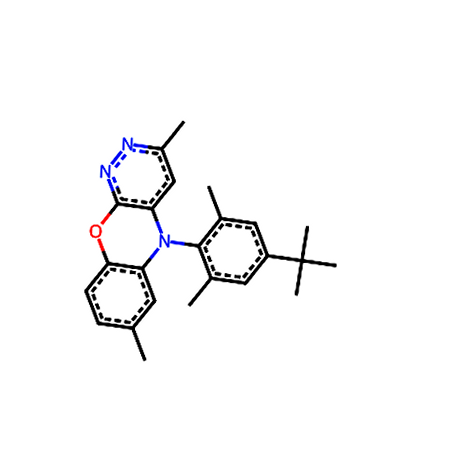 Cc1ccc2c(c1)N(c1c(C)cc(C(C)(C)C)cc1C)c1cc(C)nnc1O2